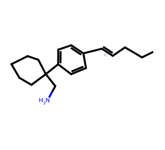 CCC/C=C/c1ccc(C2(CN)CCCCC2)cc1